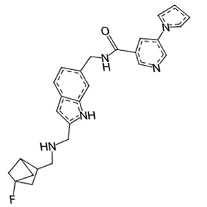 O=C(NCc1ccc2cc(CNCC3CC4(F)CC3C4)[nH]c2c1)c1cncc(-n2cccc2)c1